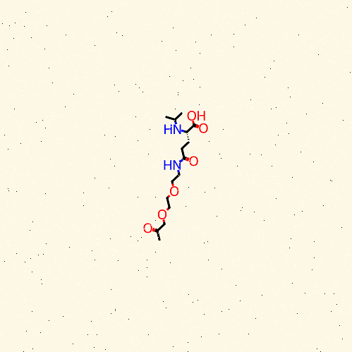 CC(=O)COCCOCCNC(=O)CC[C@H](NC(C)C)C(=O)O